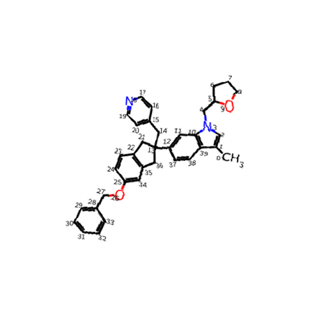 Cc1cn(CC2CCCO2)c2cc(C3(Cc4ccncc4)Cc4ccc(OCc5ccccc5)cc4C3)ccc12